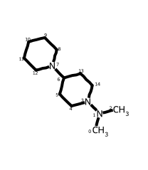 CN(C)N1CCC(N2CCCCC2)CC1